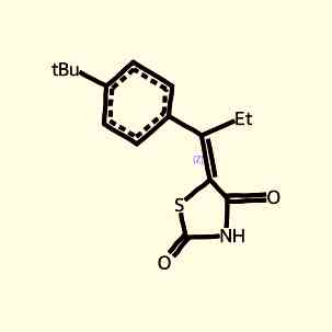 CC/C(=C1/SC(=O)NC1=O)c1ccc(C(C)(C)C)cc1